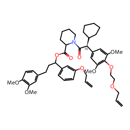 C=CCOCCOc1c(OC)cc([C@@H](C(=O)N2CCCCC2C(=O)OC(CCc2ccc(OC)c(OC)c2)c2cccc(OCC=C)c2)C2CCCCC2)cc1OC